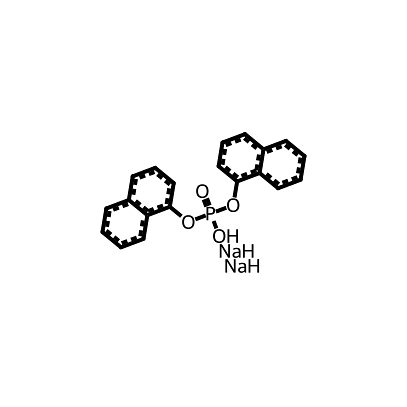 O=P(O)(Oc1cccc2ccccc12)Oc1cccc2ccccc12.[NaH].[NaH]